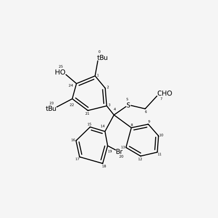 CC(C)(C)c1cc(C(SC[13CH]=O)(c2ccccc2)c2ccccc2Br)cc(C(C)(C)C)c1O